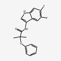 CC(C)(Oc1ccccc1)C(=O)Nc1c[nH]c2cc(F)c(F)cc12